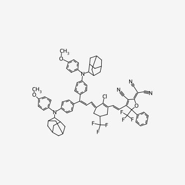 COc1ccc(N(c2ccc(C(=C/C=C3\CC(C(F)(F)F)CC(/C=C/C4=C(C#N)C(=C(C#N)C#N)OC4(c4ccccc4)C(F)(F)F)=C3Cl)c3ccc(N(c4ccc(OC)cc4)C4C5CC6CC(C5)CC4C6)cc3)cc2)C2C3CC4CC(C3)CC2C4)cc1